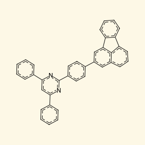 c1ccc(-c2cc(-c3ccccc3)nc(-c3ccc(-c4cc5c6c(cccc6c4)-c4ccccc4-5)cc3)n2)cc1